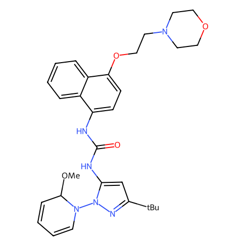 COC1C=CC=CN1n1nc(C(C)(C)C)cc1NC(=O)Nc1ccc(OCCN2CCOCC2)c2ccccc12